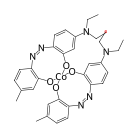 CCN(CC)c1ccc2c(c1)[O][Co]1([O]c3cc(C)ccc3N=N2)[O]c2cc(C)ccc2N=Nc2ccc(N(CC)CC)cc2[O]1